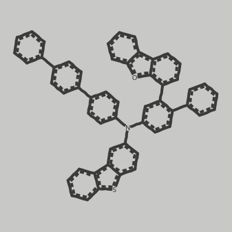 c1ccc(-c2ccc(-c3ccc(N(c4ccc(-c5ccccc5)c(-c5cccc6c5oc5ccccc56)c4)c4ccc5sc6ccccc6c5c4)cc3)cc2)cc1